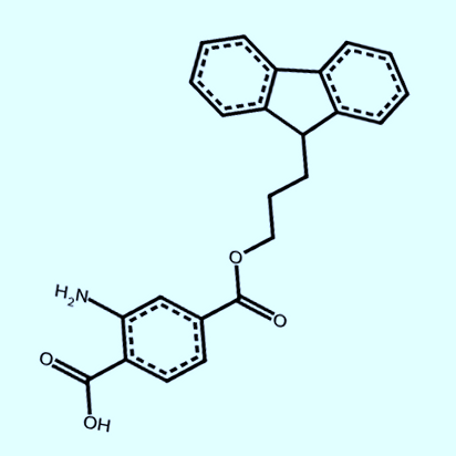 Nc1cc(C(=O)OCCCC2c3ccccc3-c3ccccc32)ccc1C(=O)O